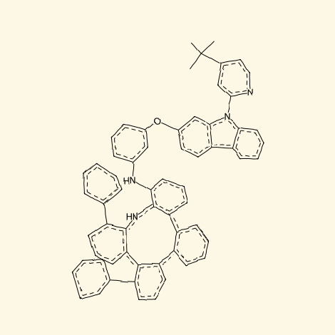 CC(C)(C)c1ccnc(-n2c3ccccc3c3ccc(Oc4cccc(Nc5cccc6c5[nH]c5c(-c7ccccc7)cccc5c5c(-c7ccccc7)cccc5c5ccccc65)c4)cc32)c1